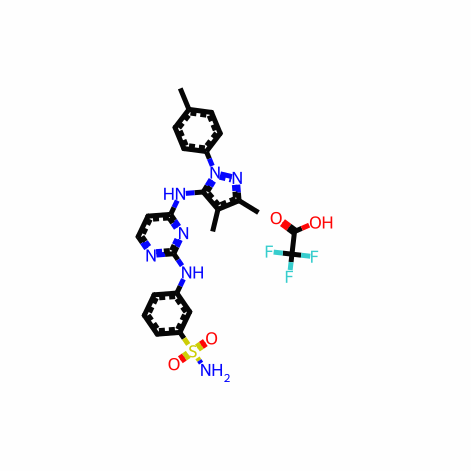 Cc1ccc(-n2nc(C)c(C)c2Nc2ccnc(Nc3cccc(S(N)(=O)=O)c3)n2)cc1.O=C(O)C(F)(F)F